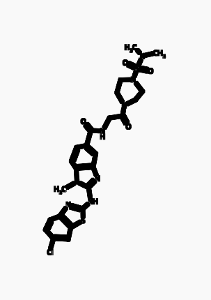 CN(C)S(=O)(=O)N1CCN(C(=O)CNC(=O)c2ccc3c(c2)nc(Nc2nc4ccc(Cl)cc4s2)n3C)CC1